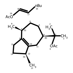 CC(=O)OC(C)(C)[C@@H]1CC[C@H](C)C2=C(C1)[C@@H](C)CC2.CCCCC=COC(C)=O